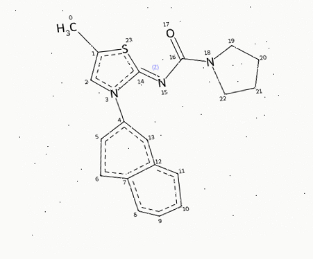 Cc1cn(-c2ccc3ccccc3c2)/c(=N/C(=O)N2CCCC2)s1